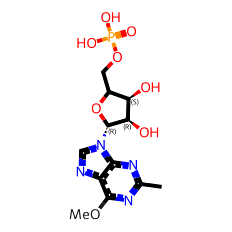 COc1nc(C)nc2c1ncn2[C@@H]1OC(COP(=O)(O)O)[C@@H](O)[C@H]1O